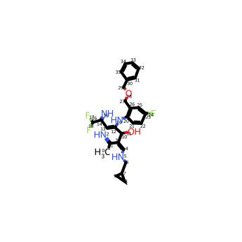 CC(=N)/C(=C\NCC1CC1)C(O)/C(=C/C(=N)C(F)F)Nc1ccc(F)cc1COCc1ccccc1